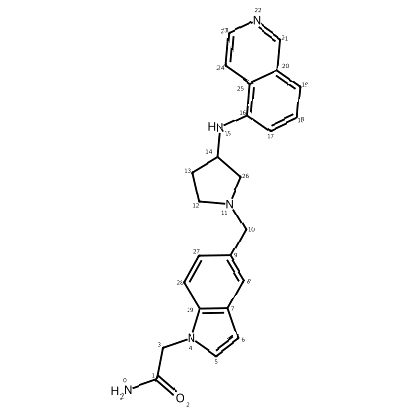 NC(=O)Cn1ccc2cc(CN3CCC(Nc4cccc5cnccc45)C3)ccc21